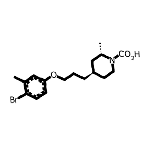 Cc1cc(OCCC[C@@H]2CCN(C(=O)O)[C@@H](C)C2)ccc1Br